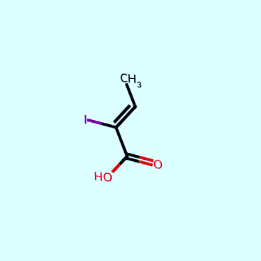 CC=C(I)C(=O)O